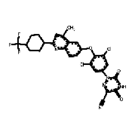 Cc1cc(C2CCC(C(F)(F)F)CC2)nc2ccc(Oc3c(Cl)cc(-n4nc(C#N)c(=O)[nH]c4=O)cc3Cl)cc12